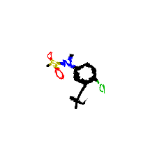 CN(c1ccc(Cl)c(C(C)(C)C)c1)S(C)(=O)=O